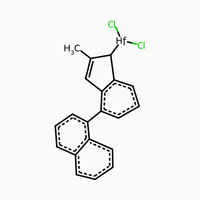 CC1=Cc2c(-c3cccc4ccccc34)cccc2[CH]1[Hf]([Cl])[Cl]